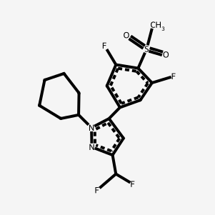 CS(=O)(=O)c1c(F)cc(-c2cc(C(F)F)nn2C2CCCCC2)cc1F